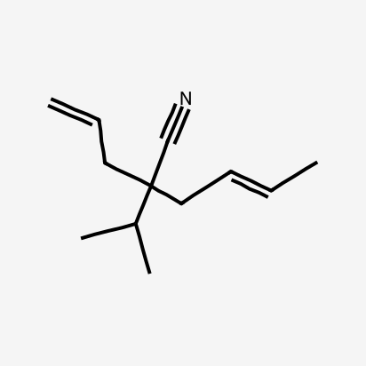 C=CCC(C#N)(CC=CC)C(C)C